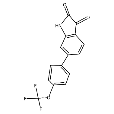 O=C1Nc2cc(-c3ccc(OC(F)(F)F)cc3)ccc2C1=O